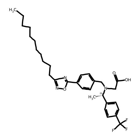 CCCCCCCCCCCc1noc(-c2ccc(CN(CC(=O)O)[C@@H](C)c3ccc(C(F)(F)F)cc3)cc2)n1